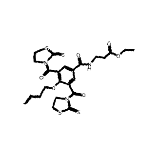 CCCCOc1c(C(=O)N2CCSC2=S)cc(C(=O)NCCC(=O)OCC)cc1C(=O)N1CCSC1=S